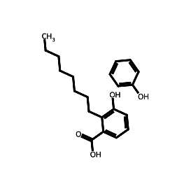 CCCCCCCCc1c(O)cccc1C(=O)O.Oc1ccccc1